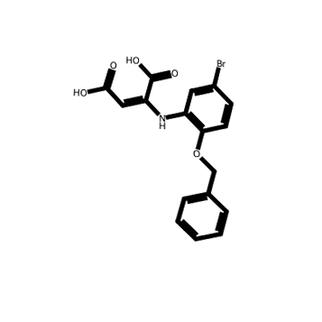 O=C(O)C=C(Nc1cc(Br)ccc1OCc1ccccc1)C(=O)O